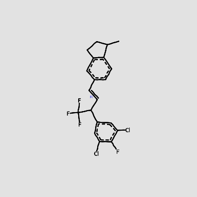 CC1CCc2cc(/C=C/C(c3cc(Cl)c(F)c(Cl)c3)C(F)(F)F)ccc21